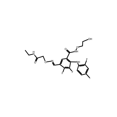 CCNC(=O)CON=Cc1cc(C(=O)NOCCO)c(Nc2ccc(I)cc2F)c(F)c1F